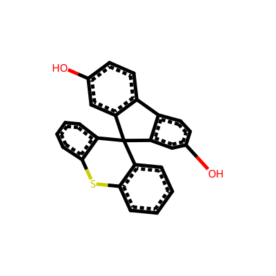 Oc1ccc2c(c1)C1(c3ccccc3Sc3ccccc31)c1cc(O)ccc1-2